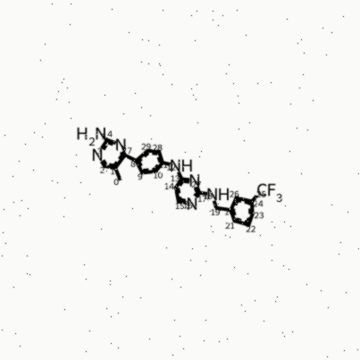 Cc1cnc(N)nc1-c1ccc(Nc2ccnc(NCc3cccc(C(F)(F)F)c3)n2)cc1